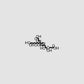 O=C(O)CCCO[C@@H](CO)[C@@H](O)Cc1cnc([C@H](CCCC(=O)O)[C@H](O)[C@@H](O)C(O)CCCC(=O)O)cn1